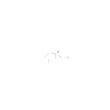 CCSP(=O)(O)O